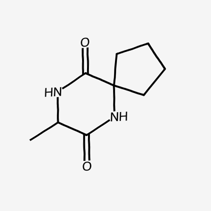 CC1NC(=O)C2(CCCC2)NC1=O